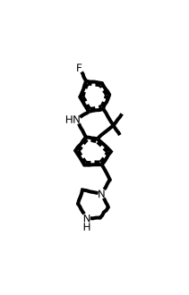 CC1(C)c2ccc(F)cc2Nc2ccc(CN3CCNCC3)cc21